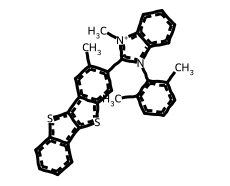 Cc1cc2c(cc1-c1n(-c3c(C)cccc3C)c3ccccc3[n+]1C)sc1c3ccccc3sc21